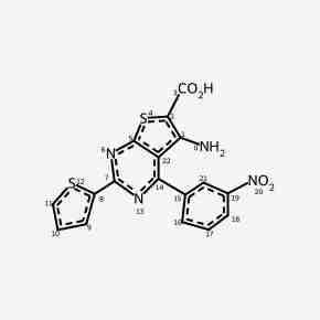 Nc1c(C(=O)O)sc2nc(-c3cccs3)nc(-c3cccc([N+](=O)[O-])c3)c12